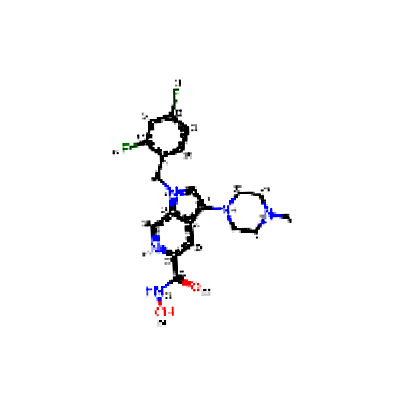 CN1CCN(c2cn(Cc3ccc(F)cc3F)c3cnc(C(=O)NO)cc23)CC1